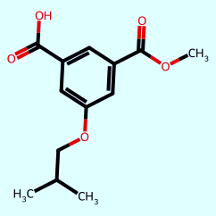 COC(=O)c1cc(OCC(C)C)cc(C(=O)O)c1